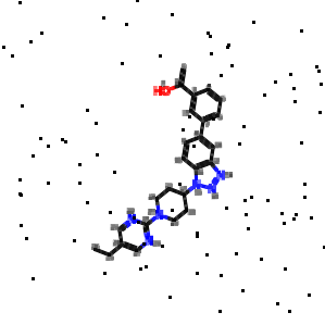 C=C(O)c1cccc(-c2ccc3c(c2)nnn3C2CCN(c3ncc(CC)cn3)CC2)c1